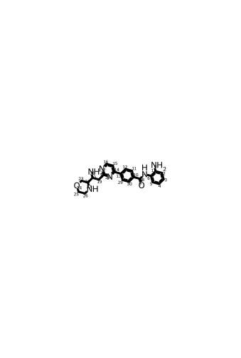 Nc1ccccc1NC(=O)c1ccc(-c2ccnc(CC(N)C3COCCN3)n2)cc1